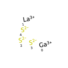 [Ga+3].[La+3].[S-2].[S-2].[S-2]